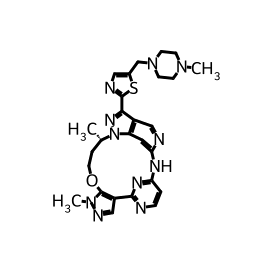 C[C@H]1CCOc2c(cnn2C)-c2nccc(n2)Nc2cc3c(cn2)c(-c2ncc(CN4CCN(C)CC4)s2)nn31